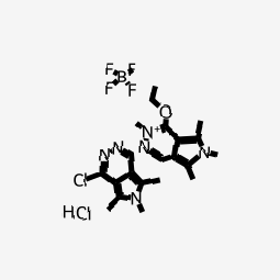 CCOc1c2c(C)n(C)c(C)c2cn[n+]1C.Cc1c2cnnc(Cl)c2c(C)n1C.Cl.F[B-](F)(F)F